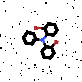 Brc1ccccc1N(c1ccccc1)c1ccccc1Br